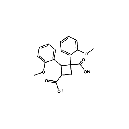 COc1ccccc1C1C(C(=O)O)CC1(C(=O)O)c1ccccc1OC